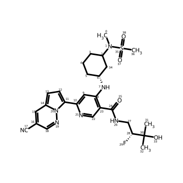 CN(C1CCC[C@@H](Nc2cc(-c3ccc4cc(C#N)cnn34)ncc2C(=O)NC[C@@H](F)C(C)(C)O)C1)S(C)(=O)=O